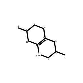 CC1COC2=C(CCC(C)C2)C1